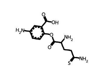 NC(=S)CCC(N)C(=O)Oc1ccc(N)cc1C(=O)O